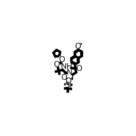 COc1ccc2cc([C@]3(OC)C[C@@H](CO[Si](C)(C)C(C)(C)C)N(C(=O)[C@@H](NC(=O)OC4CCCC4)C(C)(C)C)C3)ccc2c1